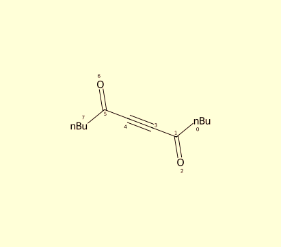 CCCCC(=O)C#CC(=O)CCCC